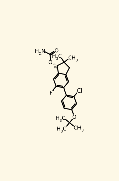 CC(C)(C)Oc1ccc(-c2cc3c(cc2F)[C@H](OC(N)=O)C(C)(C)C3)c(Cl)c1